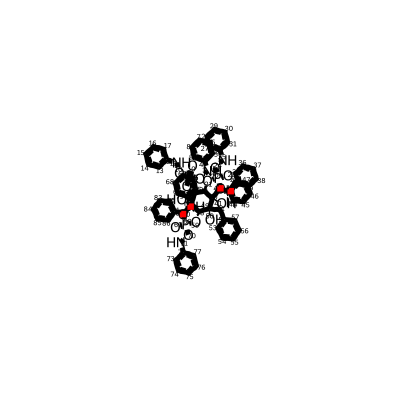 O=P(ONc1ccccc1)(ONc1ccccc1)O[C@@H]1[C@@H](OP(=O)(ONc2ccccc2)ONc2ccccc2)[C@@](O)(Cc2ccccc2)[C@@](O)(Cc2ccccc2)[C@H](OP(=O)(ONc2ccccc2)ONc2ccccc2)[C@]1(O)Cc1ccccc1